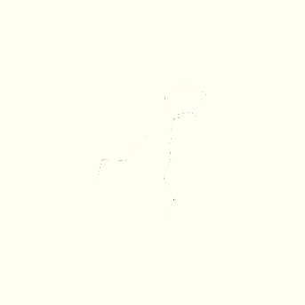 CCCCN(CCCC)C1=N[N]CC1